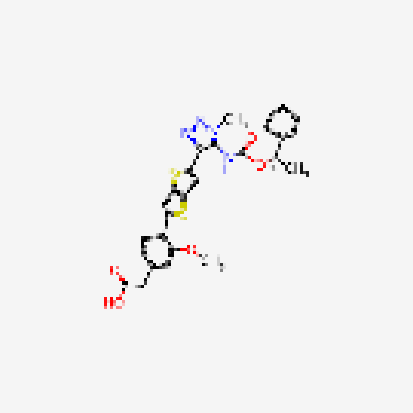 COc1cc(CC(=O)O)ccc1-c1cc2sc(-c3nnn(C)c3NC(=O)O[C@H](C)c3ccccc3)cc2s1